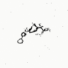 CN(C)C(=O)c1ccc(Oc2ccc(C3CCCCCC3)cc2)nc1